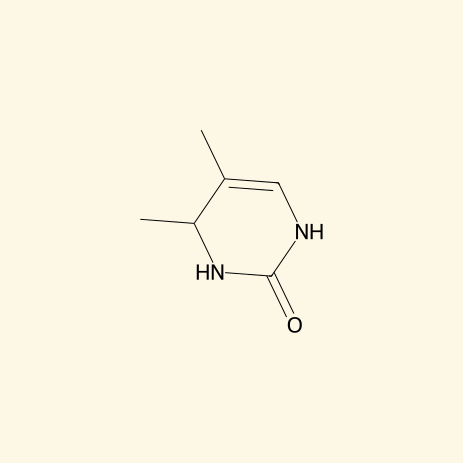 CC1=CNC(=O)NC1C